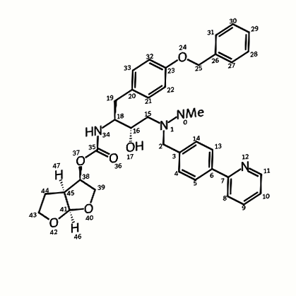 CNN(Cc1ccc(-c2ccccn2)cc1)C[C@H](O)[C@H](Cc1ccc(OCc2ccccc2)cc1)NC(=O)O[C@H]1CO[C@H]2OCC[C@H]21